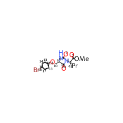 COC(=O)C(C(C)C)N1C(=O)NC(COc2ccc(Br)cc2)C1=O